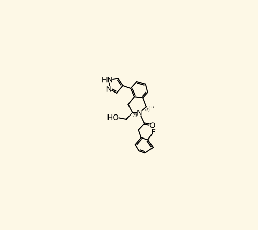 C[C@H]1c2cccc(-c3cn[nH]c3)c2C[C@H](CO)N1C(=O)Cc1ccccc1F